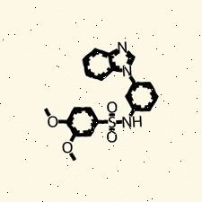 COc1ccc(S(=O)(=O)Nc2cccc(-n3cnc4ccccc43)c2)cc1OC